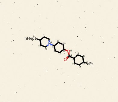 CCCCCCCC1CCN(C2CCC(OC(=O)C3CCC(CCC)CC3)CC2)CC1